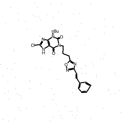 CCCCn1c(=O)n(CCCc2nc(/C=C/c3ccccc3)no2)c(=O)c2[nH]c(Cl)nc21